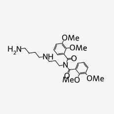 COc1cccc(C(=O)N(CCCNCCCCN)C(=O)c2cccc(OC)c2OC)c1OC